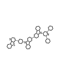 c1ccc(-c2cc(-n3c4ccccc4c4cc(-c5ccc6c(c5)c5ccccc5n6-c5ccc(-c6ccnc7c6sc6ccccc67)cc5)ccc43)cc(-c3ccccc3)n2)cc1